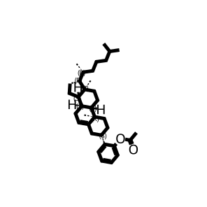 CC(=O)Oc1ccccc1[C@H]1CC[C@@]2(C)C(=CC[C@H]3[C@@H]4CC[C@H]([C@H](C)CCCC(C)C)[C@@]4(C)CC[C@@H]32)C1